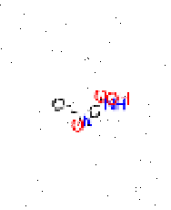 CN(C(=O)CCCc1ccccc1)c1ccc(C(=O)NO)cc1